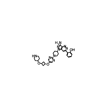 Nc1nn(C2CCN(c3ncc(O[C@H]4C[C@H](OC5CCNCC5)C4)cn3)CC2)c2cc(-c3ccccc3O)nnc12